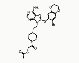 CC(=O)SCC(=O)N1CCC(CCn2c(Sc3cc4c(cc3Br)OCCO4)nc3c(N)ncnc32)CC1